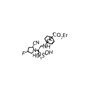 CCOC(=O)C12CCC(NCC(=O)N3C[C@@H](F)C[C@H]3C#N)(CC1)CC2.O=S(=O)(O)O